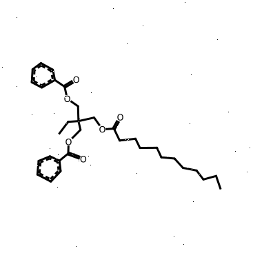 CCCCCCCCCCCC(=O)OCC(CC)(COC(=O)c1ccccc1)COC(=O)c1ccccc1